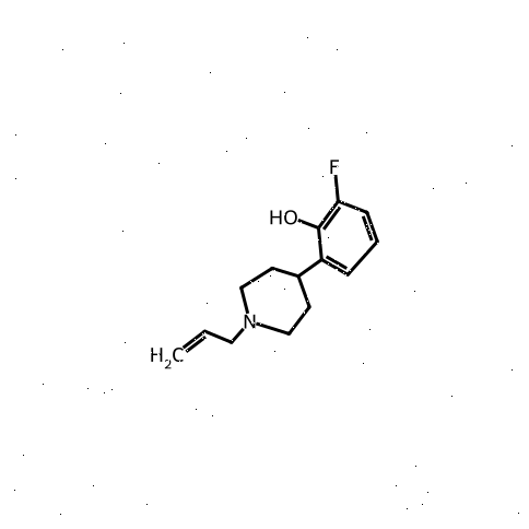 C=CCN1CCC(c2cccc(F)c2O)CC1